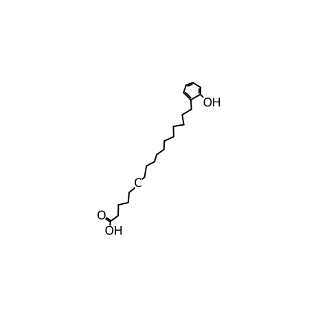 O=C(O)CCCCCCCCCCCCCCCCCc1ccccc1O